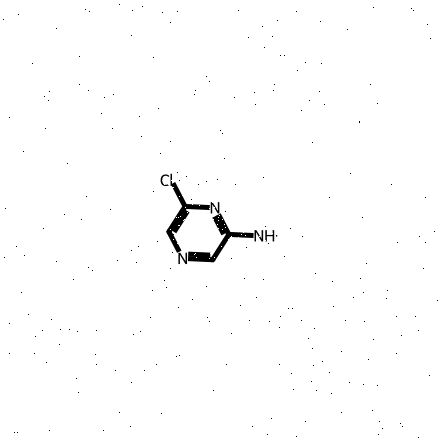 [NH]c1cncc(Cl)n1